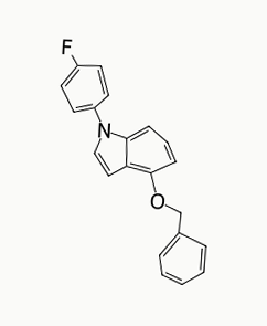 Fc1ccc(-n2ccc3c(OCc4ccccc4)cccc32)cc1